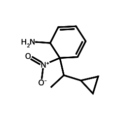 CC(C1CC1)C1([N+](=O)[O-])C=CC=CC1N